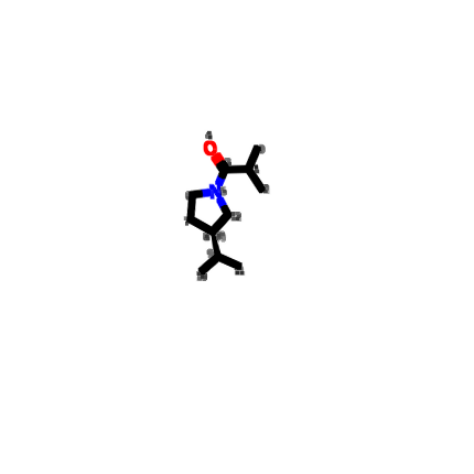 CC(C)C(=O)N1CC[C@H](C(C)C)C1